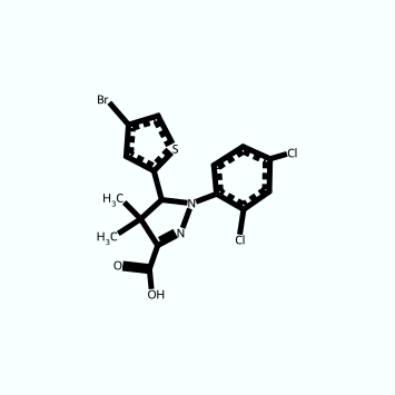 CC1(C)C(C(=O)O)=NN(c2ccc(Cl)cc2Cl)C1c1cc(Br)cs1